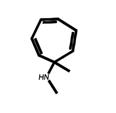 CNC1(C)C=CC=CC=C1